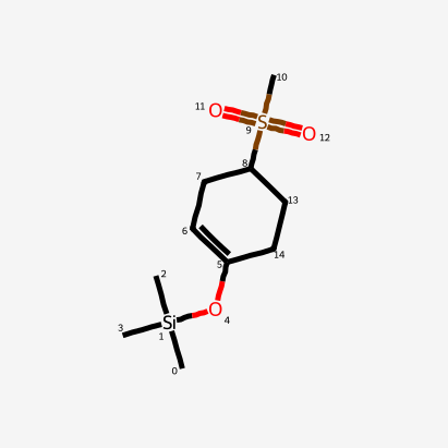 C[Si](C)(C)OC1=CCC(S(C)(=O)=O)CC1